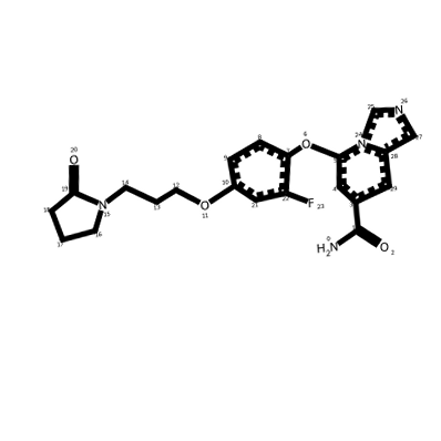 NC(=O)c1cc(Oc2ccc(OCCCN3CCCC3=O)cc2F)n2cncc2c1